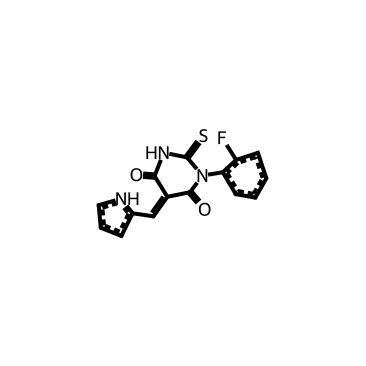 O=C1NC(=S)N(c2ccccc2F)C(=O)C1=Cc1ccc[nH]1